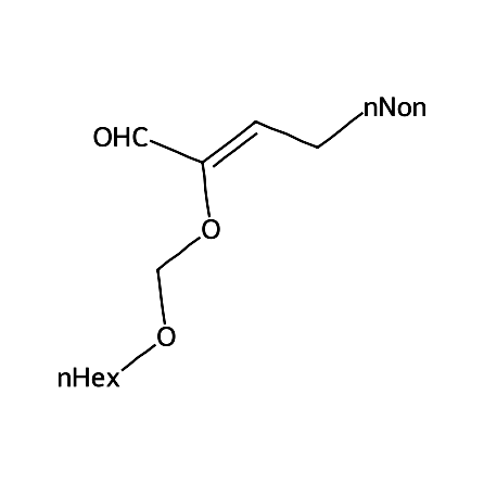 CCCCCCCCCCC=C(C=O)OCOCCCCCC